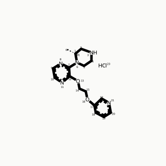 C[C@@H]1CNCCN1c1nccnc1OCCOc1cccnc1.Cl